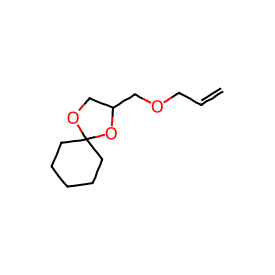 C=CCOCC1COC2(CCCCC2)O1